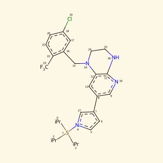 CC(C)S(C(C)C)(C(C)C)n1ccc(-c2cnc3c(c2)N(Cc2cc(Cl)ccc2C(F)(F)F)CCN3)c1